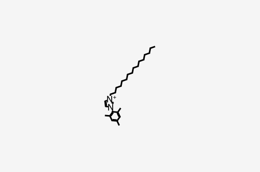 CCCCCCCCCCCCCCCC[n+]1ccn(-c2c(C)cc(C)cc2C)c1